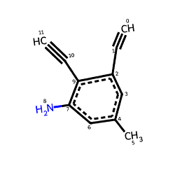 C#Cc1cc(C)cc(N)c1C#C